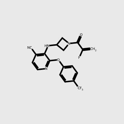 C=C(F)C(=O)N1CC(Nc2c(C#N)ccnc2Oc2ccc(C(F)(F)F)cc2)C1